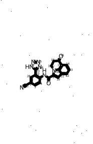 N#Cc1ccc(NC(=O)c2cc3cccc4c3n2CCC4=O)c(-c2nnn[nH]2)c1